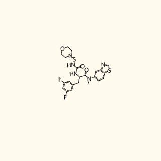 CN(C(=O)C(Cc1cc(F)cc(F)c1)NC(=O)NSN1CCOCC1)c1ccc2scnc2c1